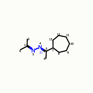 CC(C)=N/N=C(\C)C1CCCCCC1